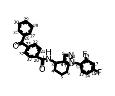 O=C(NC1CCCc2c1cnn2-c1ccc(F)cc1F)c1ccc(C(=O)c2ccccc2)cc1